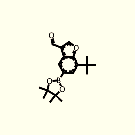 CC(C)(C)c1cc(B2OC(C)(C)C(C)(C)O2)cc2c(C=O)coc12